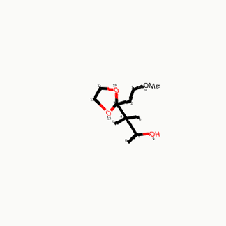 COCCC1(C(C)(C)C(C)O)OCCO1